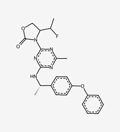 Cc1nc(N[C@@H](C)c2ccc(Oc3ccccc3)cc2)nc(N2C(=O)OCC2C(C)F)n1